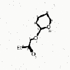 CCC(=O)COC1CCCCO1